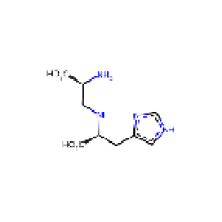 N[C@@H](CN[C@@H](Cc1c[nH]cn1)C(=O)O)C(=O)O